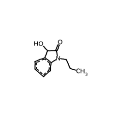 CCCN1C(=O)C(O)c2ccccc21